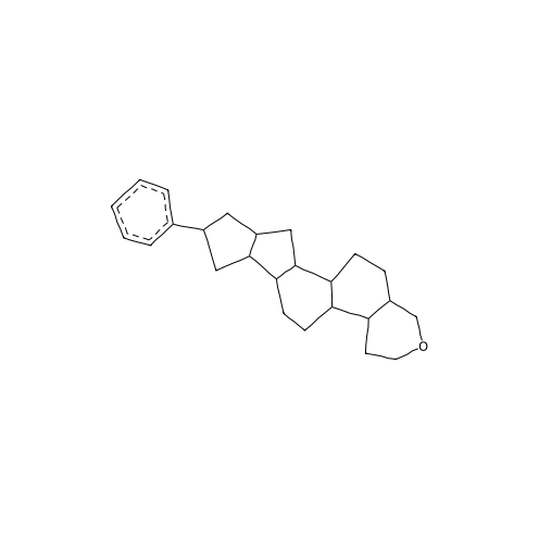 c1ccc(C2CC3CC4C(CCC5C6CCOCC6CCC54)C3C2)cc1